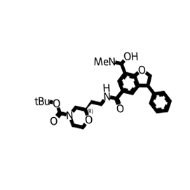 CNC(O)c1cc(C(=O)NCC[C@@H]2CN(C(=O)OC(C)(C)C)CCO2)cc2c1OCC2c1ccccc1